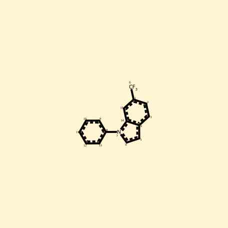 FC(F)(F)c1ccc2ccn(-c3ccccc3)c2c1